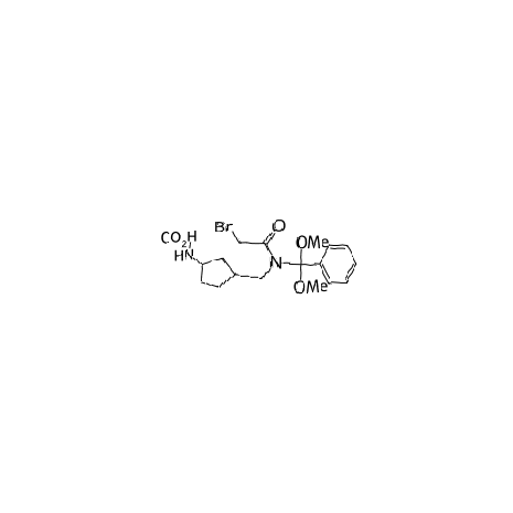 COC(OC)(c1ccccc1)N(CC1CCC(NC(=O)O)C1)C(=O)CBr